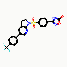 O=c1[nH]c(-c2ccc(S(=O)(=O)N3CCc4cc(-c5ccc(C(F)(F)F)cc5)cnc43)cc2)no1